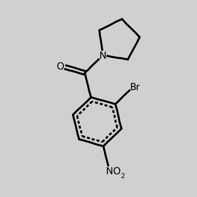 O=C(c1ccc([N+](=O)[O-])cc1Br)N1CCCC1